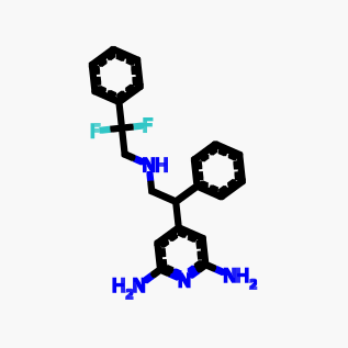 Nc1cc(C(CNCC(F)(F)c2ccccc2)c2ccccc2)cc(N)n1